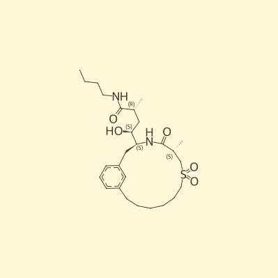 CCCCNC(=O)[C@H](C)C[C@H](O)[C@@H]1Cc2cccc(c2)CCCCCCS(=O)(=O)C[C@@H](C)C(=O)N1